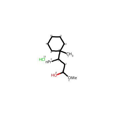 CCCC(CC(O)OC)C1(C)CCCCC1.Cl